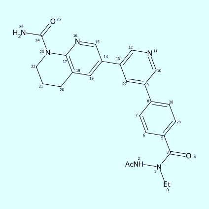 CCN(NC(C)=O)C(=O)c1ccc(-c2cncc(-c3cnc4c(c3)CCCN4C(N)=O)c2)cc1